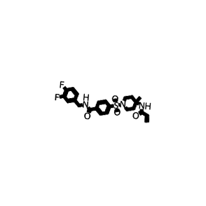 C=CC(=O)NC1(C)CCN(S(=O)(=O)c2ccc(C(=O)NCc3ccc(F)c(F)c3)cc2)CC1